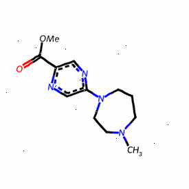 COC(=O)c1cnc(N2CCCN(C)CC2)cn1